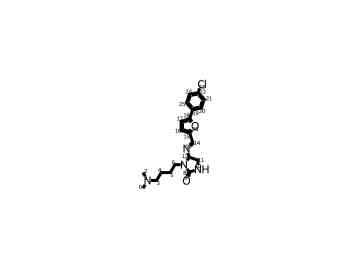 CN(C)CCCCN1C(=O)NCC1N=Cc1ccc(-c2ccc(Cl)cc2)o1